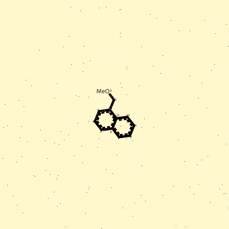 [CH2]OCc1cccc2ccccc12